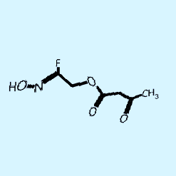 CC(=O)CC(=O)OCC(F)=NO